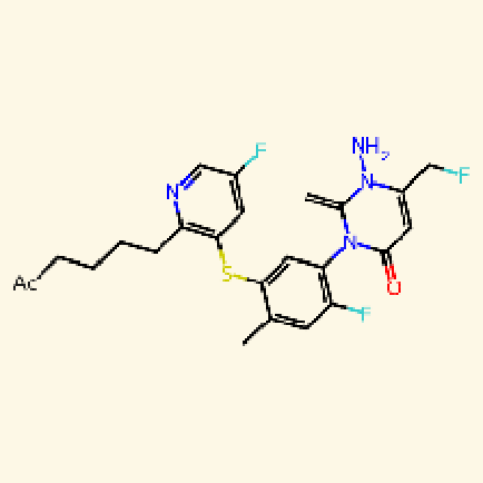 C=C1N(N)C(CF)=CC(=O)N1c1cc(Sc2cc(F)cnc2CCCCC(C)=O)c(C)cc1F